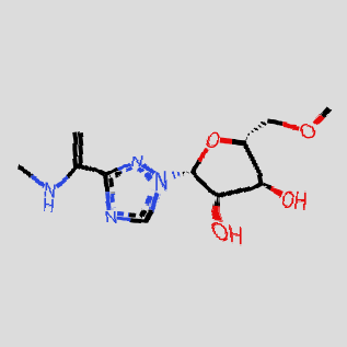 C=C(NC)c1ncn([C@@H]2O[C@H](COC)[C@@H](O)[C@H]2O)n1